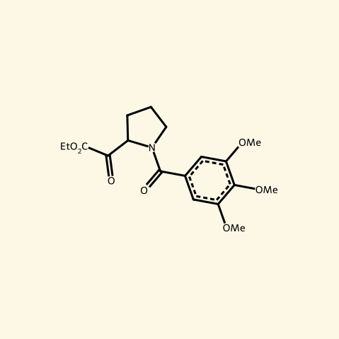 CCOC(=O)C(=O)C1CCCN1C(=O)c1cc(OC)c(OC)c(OC)c1